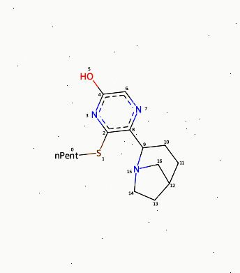 CCCCCSc1nc(O)cnc1C1CCC2CCN1C2